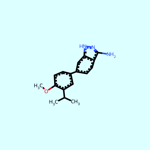 COc1ccc(-c2ccc3c(N)n[nH]c3c2)cc1C(C)C